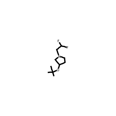 CC(C)(C)OC1CCN(CC(F)F)C1